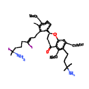 COc1ccc([C@@H]2CC(=O)c3c(cc(OC)c(CCC(C)(C)N)c3OC)O2)c(C/C=C(\I)CCCC(C)(N)I)c1C